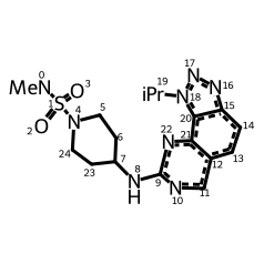 CNS(=O)(=O)N1CCC(Nc2ncc3ccc4nnn(C(C)C)c4c3n2)CC1